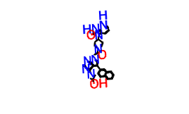 O=C(Cn1cc(-c2ccc3ccccc3c2)c2c(N3CC(O)C3)ncnc21)N1CCC(n2c3c([nH]c2=O)NCC=C3)CC1